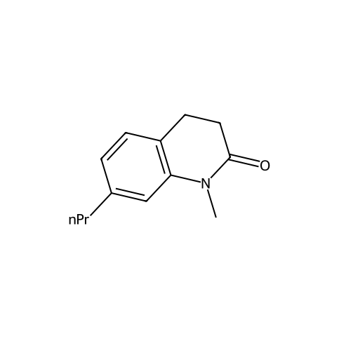 CCCc1ccc2c(c1)N(C)C(=O)CC2